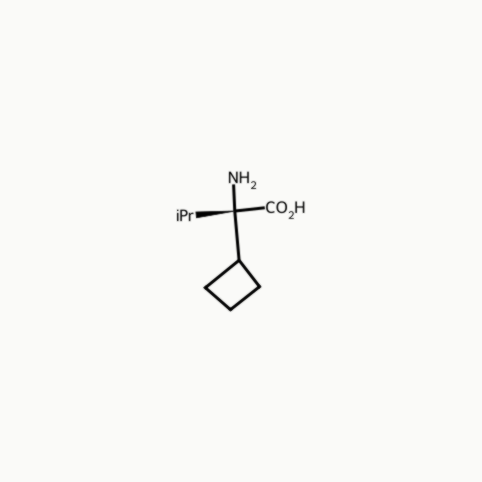 CC(C)[C@@](N)(C(=O)O)C1CCC1